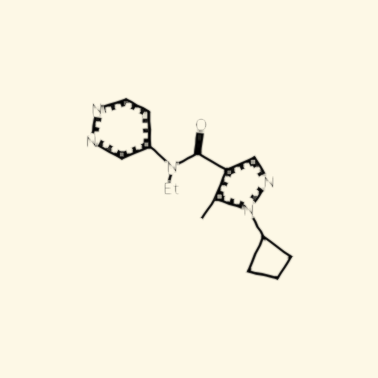 CCN(C(=O)c1cnn(C2CCC2)c1C)c1ccnnc1